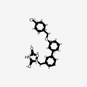 O=c1[nH]c(=O)n(Cc2cccc(-c3cccc(OCc4ccc(Cl)cc4)c3)c2)o1